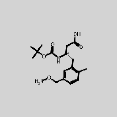 Cc1ccc(CON)cc1C[C@@H](CC(=O)O)NC(=O)OC(C)(C)C